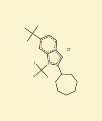 CC(C)(C)c1ccc2cc(C3CCCCCC3)[s+](C(F)(F)F)c2c1.[Cl-]